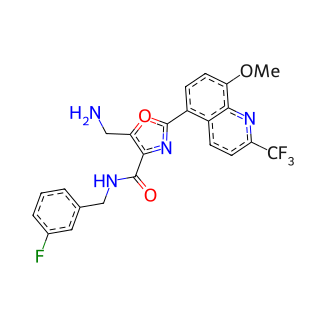 COc1ccc(-c2nc(C(=O)NCc3cccc(F)c3)c(CN)o2)c2ccc(C(F)(F)F)nc12